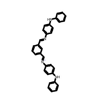 C(=Nc1ccc(Nc2ccccc2)cc1)c1cccc(/C=N/c2ccc(Nc3ccccc3)cc2)c1